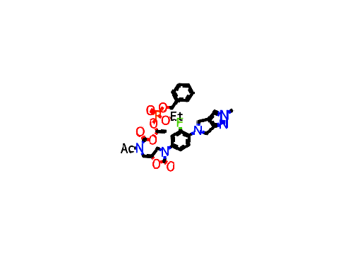 CCOP(=O)(OCc1ccccc1)OC(C)OC(=O)N(CC1CN(c2ccc(N3Cc4cn(C)nc4C3)c(F)c2)C(=O)O1)C(C)=O